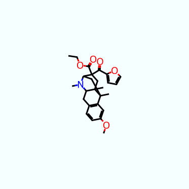 CCOC(=O)C1(C(=O)c2ccco2)CC2(C)C3Cc4ccc(OC)cc4C2(C)CC1N3C